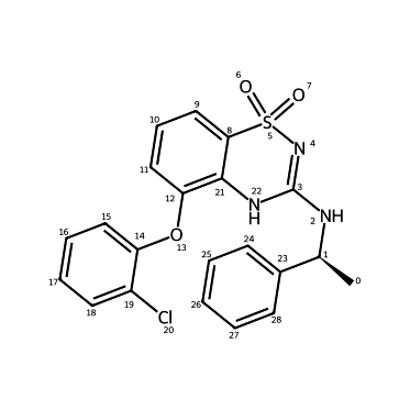 C[C@H](NC1=NS(=O)(=O)c2cccc(Oc3ccccc3Cl)c2N1)c1ccccc1